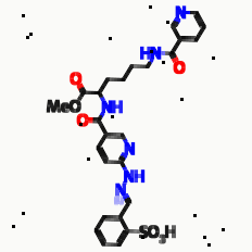 COC(=O)C(CCCCNC(=O)c1cccnc1)NC(=O)c1ccc(N/N=C/c2ccccc2S(=O)(=O)O)nc1